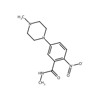 CNC(=O)c1cc(N2CCN(C)CC2)ccc1[N+](=O)[O-]